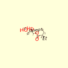 CCCCCCCCC(CC)C(=O)OCC(O)CO